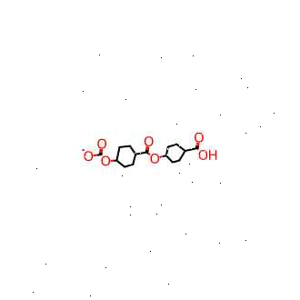 COC(=O)OC1CCC(C(=O)OC2CCC(C(=O)O)CC2)CC1